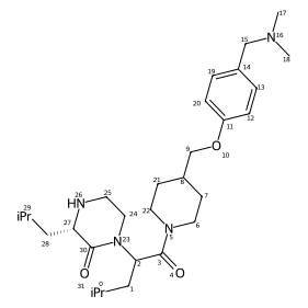 CC(C)CC(C(=O)N1CCC(COc2ccc(CN(C)C)cc2)CC1)N1CCN[C@@H](CC(C)C)C1=O